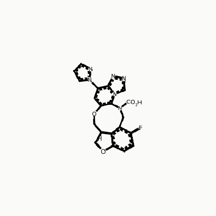 O=C(O)N1Cc2c(F)ccc3c2[C@@H](CO3)COc2cc(-n3cccn3)c3nncn3c21